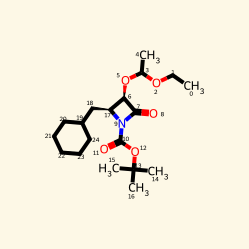 CCOC(C)O[C@H]1C(=O)N(C(=O)OC(C)(C)C)[C@H]1CC1CCCCC1